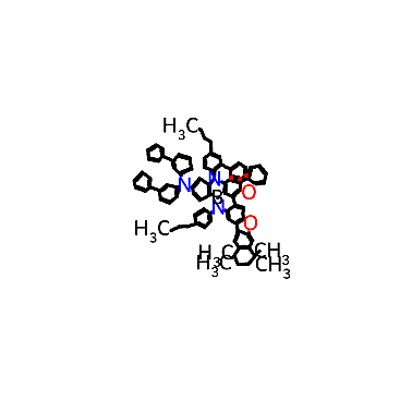 CCCCc1ccc(N2B3c4ccc(N(c5cccc(-c6ccccc6)c5)c5cccc(-c6ccccc6)c5)cc4N(c4ccc(CCCC)cc4-c4ccccc4)c4cc5c(oc6ccccc65)c(c43)-c3cc4oc5cc6c(cc5c4cc32)C(C)(C)CCC6(C)C)cc1